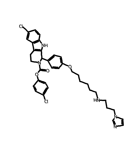 O=C(Oc1ccc(Cl)cc1)N1CCc2c([nH]c3ccc(Cl)cc23)C1c1ccc(OCCCCCCNCCCn2ccnc2)cc1